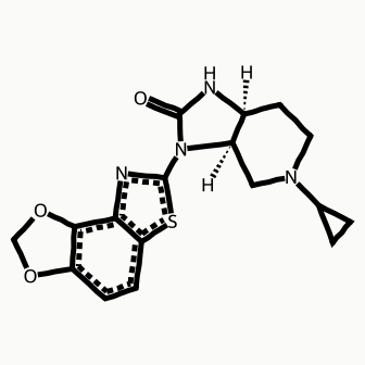 O=C1N[C@H]2CCN(C3CC3)C[C@H]2N1c1nc2c3c(ccc2s1)OCO3